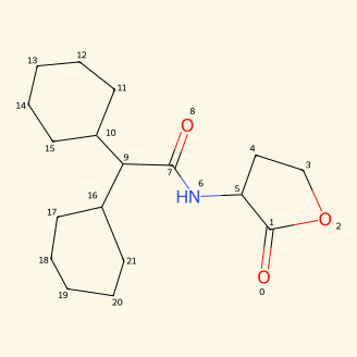 O=C1OCCC1NC(=O)C(C1CCCCC1)C1CCCCC1